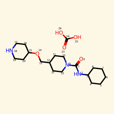 O=C(NC1CCCCC1)N1CCC(COC2CCNCC2)CC1.O=C(O)O